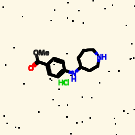 COC(=O)c1ccc(NC2CCCNCC2)cc1.Cl